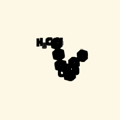 Cc1cncc(-c2ccc(-c3ccc4c(c3)B3c5ccc(-c6ccccc6)cc5Oc5cccc(c53)O4)cc2)c1